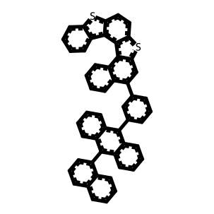 c1cc(-c2c3ccccc3c(-c3cccc4ccccc34)c3ccccc23)cc(-c2cc3sc4ccc5sc6ccccc6c5c4c3c3ccccc23)c1